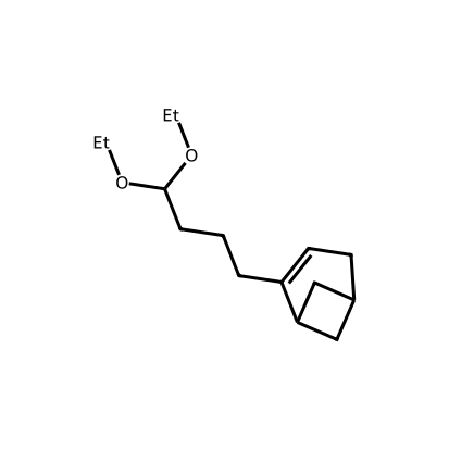 CCOC(CCCC1=CCC2CC1C2)OCC